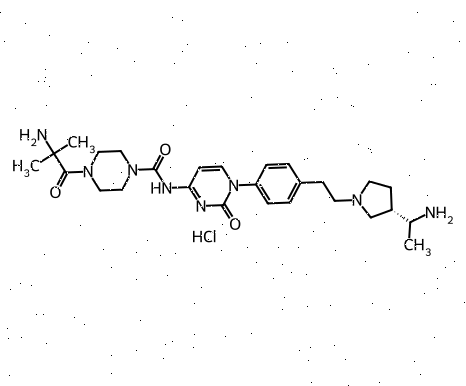 CC(N)[C@H]1CCN(CCc2ccc(-n3ccc(NC(=O)N4CCN(C(=O)C(C)(C)N)CC4)nc3=O)cc2)C1.Cl